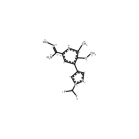 COc1c(-c2cnn(C(F)F)c2)cc(/C(N)=N/O)nc1C